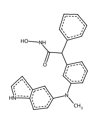 CN(c1cccc(C(C(=O)NO)c2ccccc2)c1)c1ccc2[nH]ccc2c1